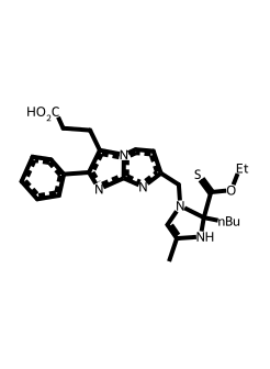 CCCCC1(C(=S)OCC)NC(C)=CN1Cc1ccn2c(CCC(=O)O)c(-c3ccccc3)nc2n1